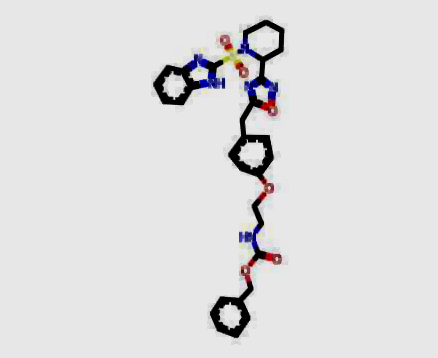 O=C(NCCOc1ccc(Cc2nc(C3CCCCN3S(=O)(=O)c3nc4ccccc4[nH]3)no2)cc1)OCc1ccccc1